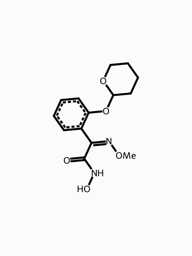 CON=C(C(=O)NO)c1ccccc1OC1CCCCO1